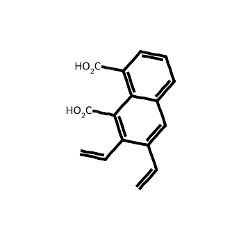 C=Cc1cc2cccc(C(=O)O)c2c(C(=O)O)c1C=C